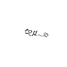 c1coc(CCCNCc2ccco2)c1